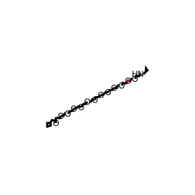 O=C(CCOCCOCCOCCOCCOCCOCCOCCOCCOCCOCCOCCOCCNCC1CC1)CC1CCC1